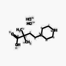 CC(C)(CCN1CCNCC1)C(=O)O.Cl.Cl